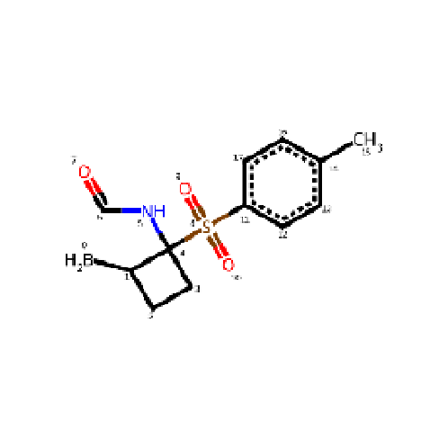 BC1CCC1(NC=O)S(=O)(=O)c1ccc(C)cc1